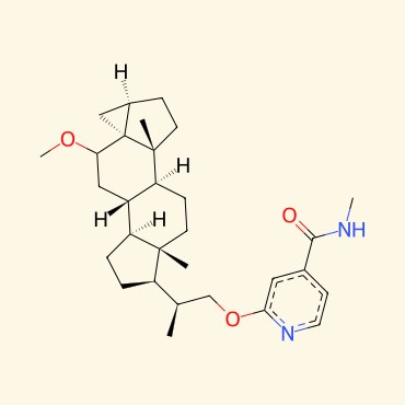 CNC(=O)c1ccnc(OC[C@@H](C)[C@H]2CC[C@H]3[C@@H]4CC(OC)[C@@]56C[C@H]5CC[C@]6(C)[C@H]4CC[C@]23C)c1